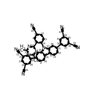 Cc1nc(C)nc(-c2cc(C#N)ccc2-n2c3cc(-c4cc(C#N)cc(C#N)c4)ccc3c3ccc(-c4cc(C#N)cc(C#N)c4)cc32)n1